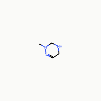 CN1CNCC=N1